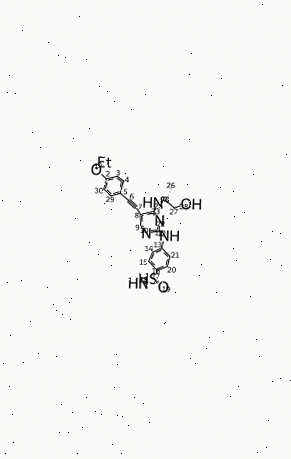 CCOc1ccc(C#Cc2cnc(Nc3ccc([SH](=N)=O)cc3)nc2N[C@H](C)CO)cc1